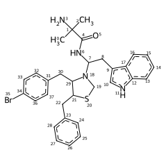 CC(C)(N)C(=O)NC(Cc1c[nH]c2ccccc12)N1CSC(Cc2ccccc2)C1Cc1ccc(Br)cc1